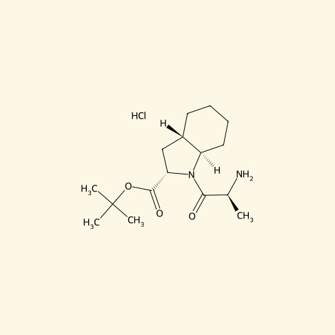 C[C@H](N)C(=O)N1[C@@H]2CCCC[C@H]2C[C@H]1C(=O)OC(C)(C)C.Cl